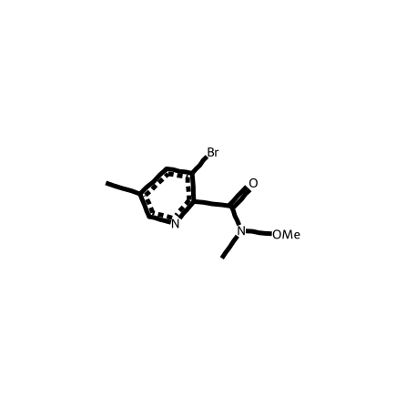 CON(C)C(=O)c1ncc(C)cc1Br